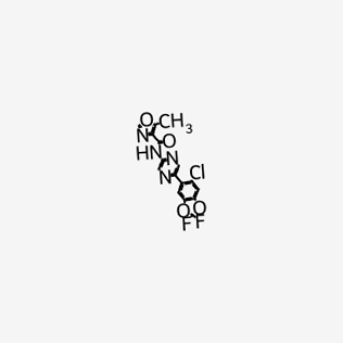 Cc1ocnc1C(=O)Nc1cnc(-c2cc3c(cc2Cl)OC(F)(F)O3)cn1